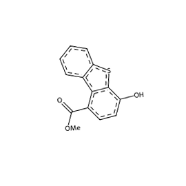 COC(=O)c1ccc(O)c2sc3ccccc3c12